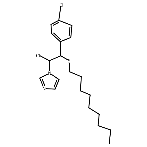 CCCCCCCCCSC(c1ccc(Cl)cc1)C(Cl)n1ccnc1